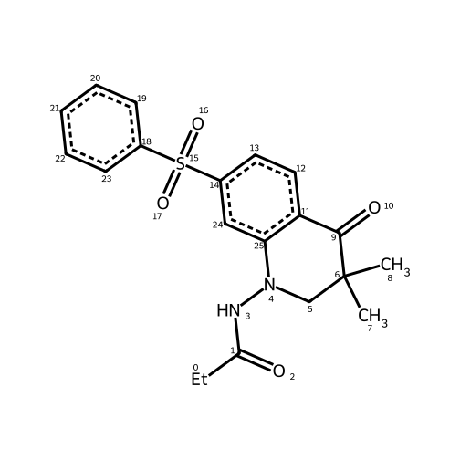 CCC(=O)NN1CC(C)(C)C(=O)c2ccc(S(=O)(=O)c3ccccc3)cc21